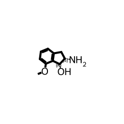 COc1cccc2c1[C@@H](O)[C@@H](N)C2